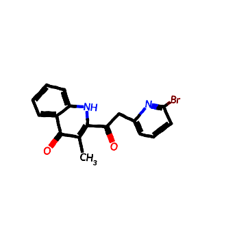 Cc1c(C(=O)Cc2cccc(Br)n2)[nH]c2ccccc2c1=O